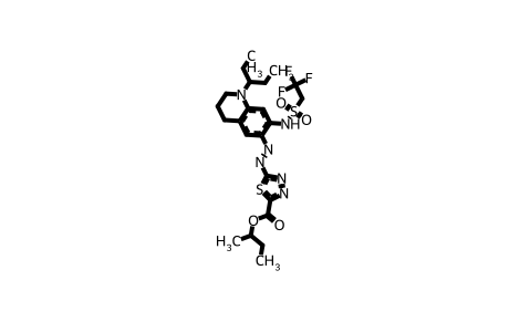 CCC(C)OC(=O)c1nnc(N=Nc2cc3c(cc2NS(=O)(=O)CC(F)(F)F)N(C(CC)CC)CCC3)s1